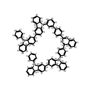 c1ccc(-n2c3ccccc3c3ccc(-c4ccc5c(c4)c4ccccc4n5-c4ccc(-c5nc(-c6ccc(-c7cccc(-n8c9ccccc9c9cc(-c%10ccc%11c%12ccccc%12n(-c%12ccccc%12)c%11c%10)ccc98)c7)cc6)nc6ccccc56)cc4)cc32)cc1